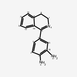 Nc1ccc(C2=NCCc3ccccc32)cc1N